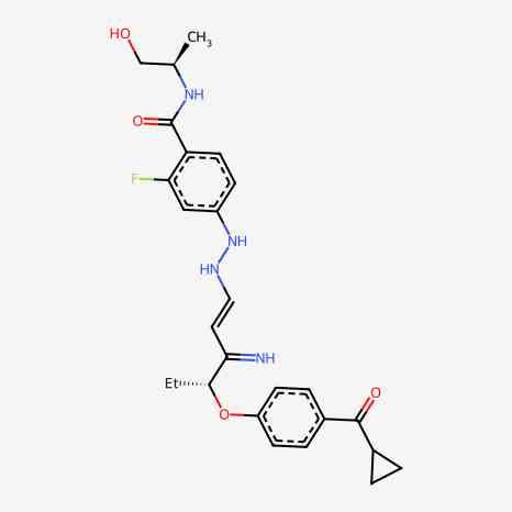 CC[C@@H](Oc1ccc(C(=O)C2CC2)cc1)C(=N)/C=C/NNc1ccc(C(=O)N[C@H](C)CO)c(F)c1